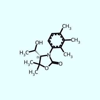 Cc1ccc(N2C(=O)OC(C)(C)[C@@H]2C(C)O)c(C)c1C